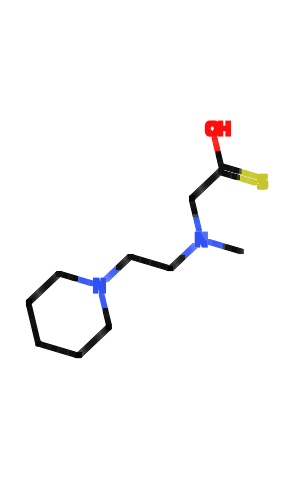 CN(CCN1CCCCC1)CC(O)=S